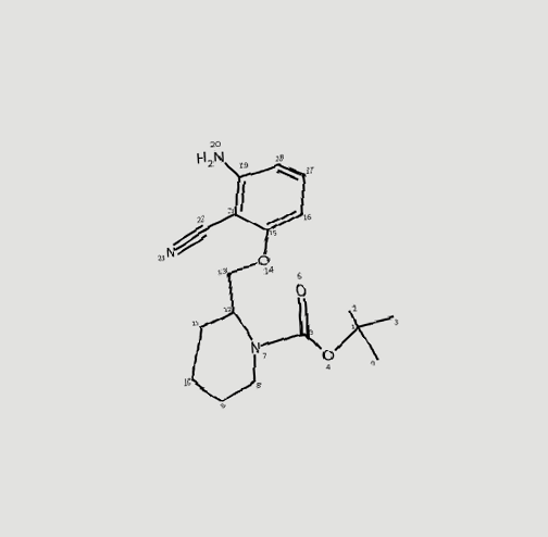 CC(C)(C)OC(=O)N1CCCCC1COc1cccc(N)c1C#N